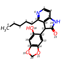 CCCCCc1nccc2c1C(c1cc3c(cc1O)OCO3)C(=O)N2